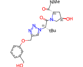 CNC(=O)[C@@H]1C[C@@H](O)CN1C(=O)[C@@H](n1cc(COc2cccc(CO)c2)nn1)C(C)(C)C